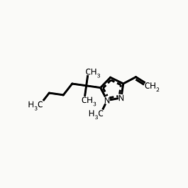 C=Cc1cc(C(C)(C)CCCC)n(C)n1